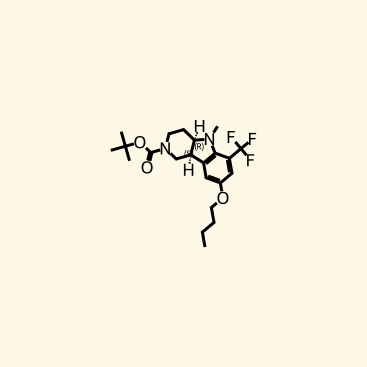 CCCCOc1cc2c(c(C(F)(F)F)c1)N(C)[C@@H]1CCN(C(=O)OC(C)(C)C)C[C@H]21